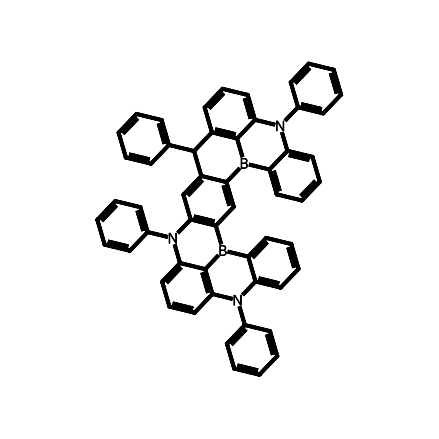 c1ccc(C2c3cc4c(cc3B3c5ccccc5N(c5ccccc5)c5cccc2c53)B2c3ccccc3N(c3ccccc3)c3cccc(c32)N4c2ccccc2)cc1